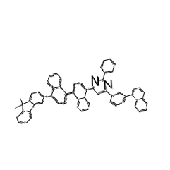 CC1(C)c2ccccc2-c2cc(-c3ccc(-c4ccc(-c5cc(-c6cccc(-c7cccc8ccccc78)c6)nc(-c6ccccc6)n5)c5ccccc45)c4ccccc34)ccc21